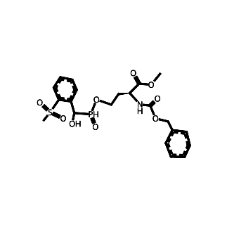 COC(=O)[C@H](CCO[PH](=O)C(O)c1ccccc1S(C)(=O)=O)NC(=O)OCc1ccccc1